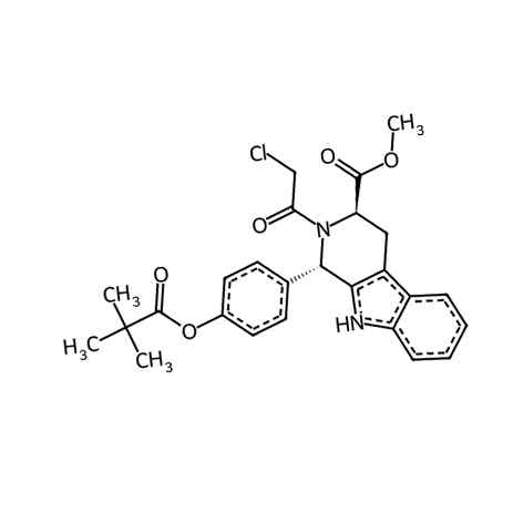 COC(=O)[C@H]1Cc2c([nH]c3ccccc23)[C@H](c2ccc(OC(=O)C(C)(C)C)cc2)N1C(=O)CCl